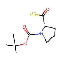 CC(C)(C)OC(=O)N1CCC[C@H]1C(=O)S